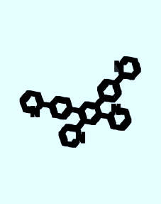 c1ccc(-c2ccc(-c3cc(-c4ccc(-c5ccccn5)cc4)c(-c4ccccn4)cc3-c3ccccn3)cc2)nc1